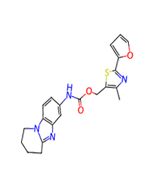 Cc1nc(-c2ccco2)sc1COC(=O)Nc1ccc2c(c1)nc1n2CCCC1